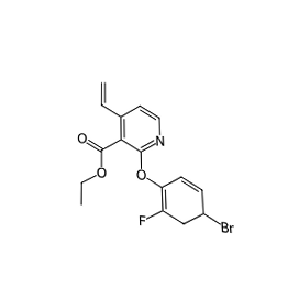 C=Cc1ccnc(OC2=C(F)CC(Br)C=C2)c1C(=O)OCC